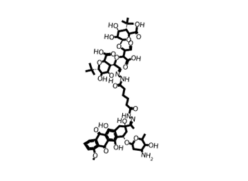 COc1cccc2c1C(=O)c1c(O)c3c(c(O)c1C2=O)C[C@@](O)(/C(C)=N\NC(=O)CCCCC(=O)N/N=C/C(OC(C(=O)O)C(C=O)O[C@@H]1OC(C(=O)O)[C@@H](C(C)(C)C)[C@@H](O)C1O)[C@@H]1C(C(=O)O)O[C@@H](C(C)(C)C)C(O)[C@@H]1O)C[C@@H]3OC1CC(N)C(O)C(C)O1